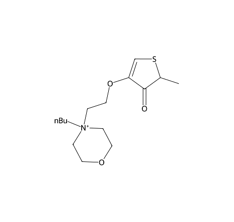 CCCC[N+]1(CCOC2=CSC(C)C2=O)CCOCC1